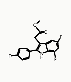 COC(=O)Cc1c(-c2ccc(F)cc2)[nH]c2c(F)cc(F)cc12